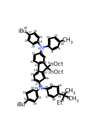 CCCCCCCCC1(CCCCCCCC)c2cc(N(c3ccc(C)cc3)c3ccc(C(C)CC)cc3)ccc2-c2ccc(N(c3ccc(C(C)CC)cc3)c3ccc(C(C)(C)CC)cc3)cc21